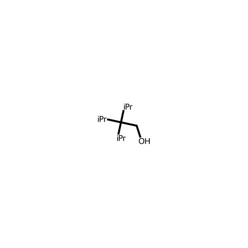 CC(C)C(CO)(C(C)C)C(C)C